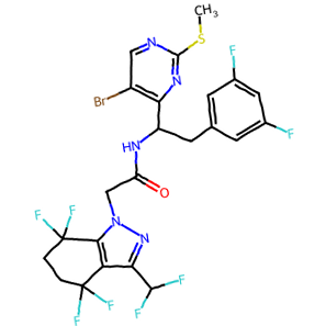 CSc1ncc(Br)c(C(Cc2cc(F)cc(F)c2)NC(=O)Cn2nc(C(F)F)c3c2C(F)(F)CCC3(F)F)n1